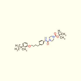 CC(C)(C)OC(=O)N1CCN(C(=O)Nc2ccc(CCCCOc3cccc(C(C)(C)C)c3)cc2)CC1